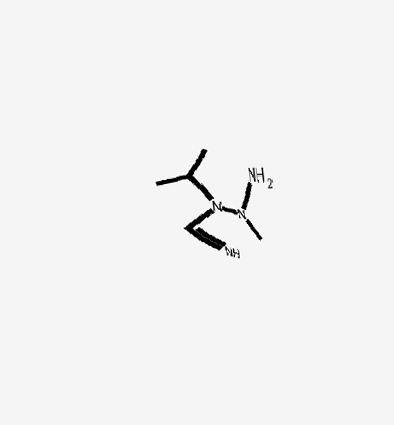 CC(C)N(C=N)N(C)N